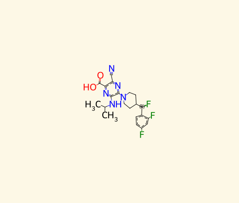 CC(C)Nc1nc(C(=O)O)c(C#N)nc1N1CCC([C@@H](F)c2ccc(F)cc2F)CC1